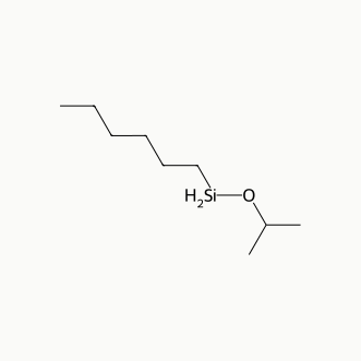 CCCCCC[SiH2]OC(C)C